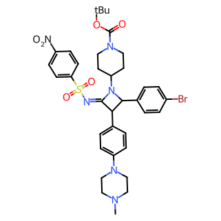 CN1CCN(c2ccc(C3C(=NS(=O)(=O)c4ccc([N+](=O)[O-])cc4)N(C4CCN(C(=O)OC(C)(C)C)CC4)C3c3ccc(Br)cc3)cc2)CC1